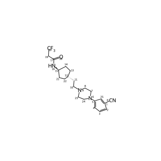 N#Cc1cccc(N2CCN(CC[C@H]3CC[C@H](NC(=O)CC(F)(F)F)CC3)CC2)c1